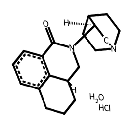 Cl.O.O=C1c2cccc3c2[C@@H](CCC3)CN1[C@@H]1CN2CCC1CC2